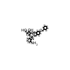 Nc1ncnc2c1nc(NCc1ccc(OCc3ccccc3)cc1)n2[C@@H]1O[C@H](CO)[C@@H](O)[C@H]1O